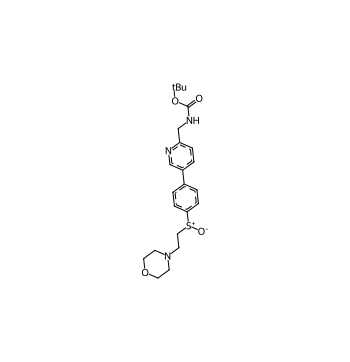 CC(C)(C)OC(=O)NCc1ccc(-c2ccc([S+]([O-])CCN3CCOCC3)cc2)cn1